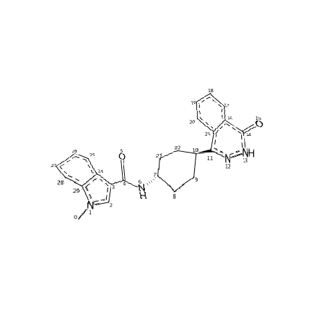 Cn1cc(C(=O)N[C@H]2CC[C@H](c3n[nH]c(=O)c4ccccc43)CC2)c2ccccc21